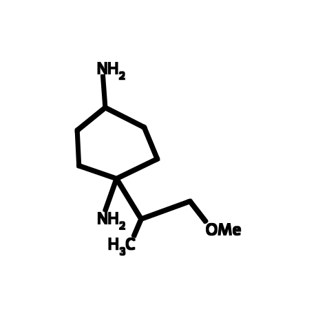 COCC(C)C1(N)CCC(N)CC1